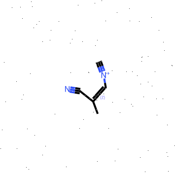 C#[N+]/C=C(/C)C#N